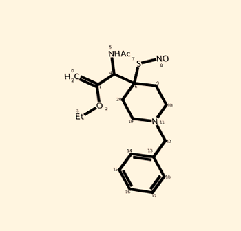 C=C(OCC)C(NC(C)=O)C1(SN=O)CCN(Cc2ccccc2)CC1